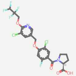 O=C(O)[C@@H]1CCCN1C(=O)c1cc(Cl)c(OCc2cnc(OCC(F)(F)C(F)F)c(Cl)c2)cc1F